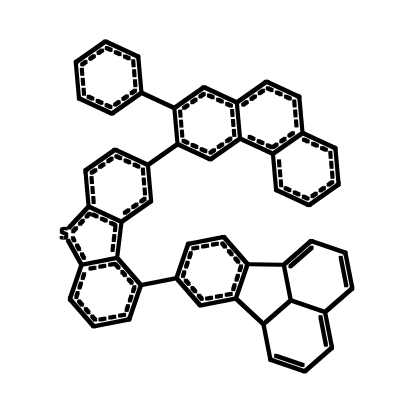 C1=CC2=CC=CC3c4cc(-c5cccc6sc7ccc(-c8cc9c(ccc%10ccccc%109)cc8-c8ccccc8)cc7c56)ccc4C(=C1)C23